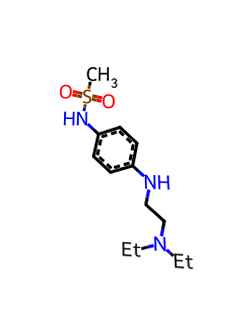 CCN(CC)CCNc1ccc(NS(C)(=O)=O)cc1